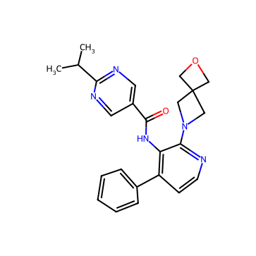 CC(C)c1ncc(C(=O)Nc2c(-c3ccccc3)ccnc2N2CC3(COC3)C2)cn1